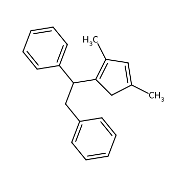 CC1=CC(C)=C(C(Cc2ccccc2)c2ccccc2)C1